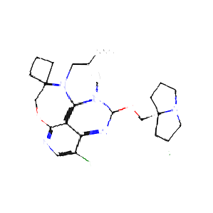 [2H]N1C2=c3c(ncc(F)c3=NC1OC[C@@]13CCCN1C[C@H](F)C3)OCC1(CCC1)N2CCNC